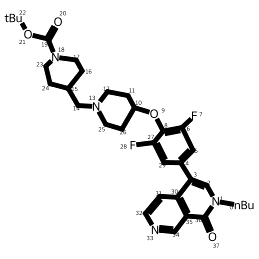 CCCCn1cc(-c2cc(F)c(OC3CCN(CC4CCN(C(=O)OC(C)(C)C)CC4)CC3)c(F)c2)c2ccncc2c1=O